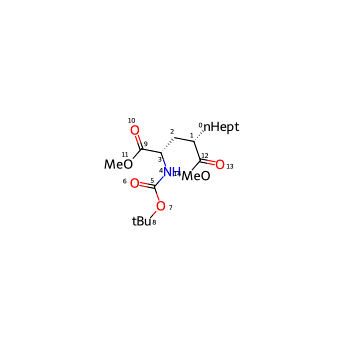 CCCCCCC[C@@H](C[C@H](NC(=O)OC(C)(C)C)C(=O)OC)C(=O)OC